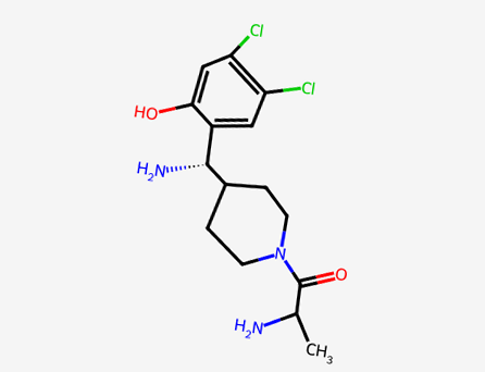 CC(N)C(=O)N1CCC([C@H](N)c2cc(Cl)c(Cl)cc2O)CC1